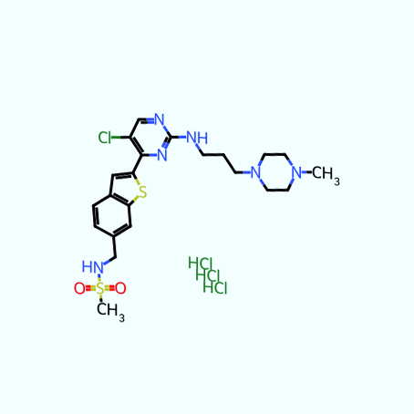 CN1CCN(CCCNc2ncc(Cl)c(-c3cc4ccc(CNS(C)(=O)=O)cc4s3)n2)CC1.Cl.Cl.Cl